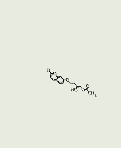 CC(=O)OC[C@@H](O)CCOc1ccc2ccc(=O)oc2c1